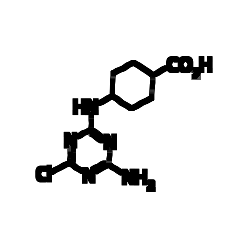 Nc1nc(Cl)nc(NC2CCC(C(=O)O)CC2)n1